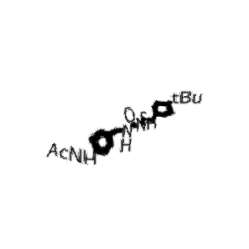 CC(=O)Nc1ccc(CNC(=O)NSCc2ccc(C(C)(C)C)cc2)cc1